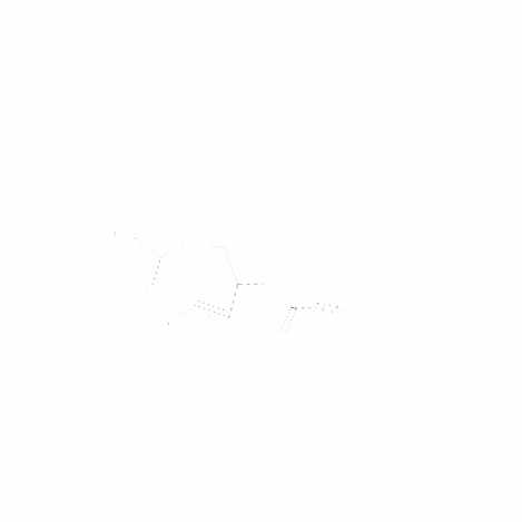 CNC(=O)OC1/C=C/COC(C(C)(C)C)OC1